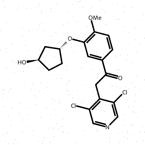 COc1ccc(C(=O)Cc2c(Cl)cncc2Cl)cc1O[C@@H]1CC[C@@H](O)C1